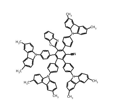 Cc1ccc2c(c1)c1cc(C)ccc1n2-c1ccc(-c2c(C#N)c(-c3ccc(-n4c5ccc(C)cc5c5cc(C)ccc54)cc3)c(-c3nc4ccccc4o3)c(-c3ccc(-n4c5ccc(C)cc5c5cc(C)ccc54)cc3)c2-c2ccc(-n3c4ccc(C)cc4c4cc(C)ccc43)cc2)cc1